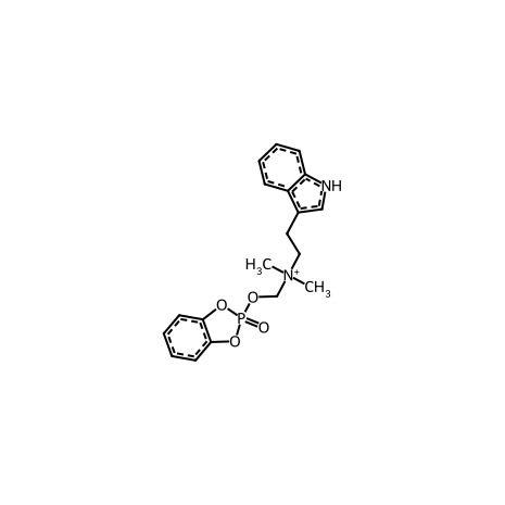 C[N+](C)(CCc1c[nH]c2ccccc12)COP1(=O)Oc2ccccc2O1